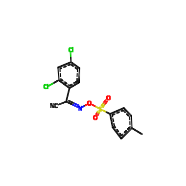 Cc1ccc(S(=O)(=O)O/N=C(/C#N)c2ccc(Cl)cc2Cl)cc1